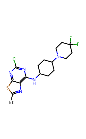 CCc1nc2c(NC3CCC(N4CCC(F)(F)CC4)CC3)nc(Cl)nc2s1